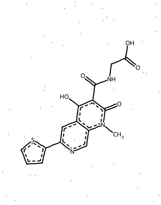 Cn1c(=O)c(C(=O)NCC(=O)O)c(O)c2cc(-c3cccs3)ncc21